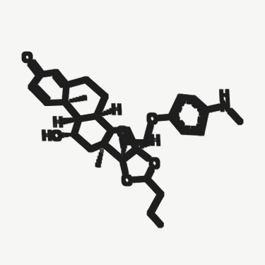 CCCC1O[C@@H]2CC3[C@@H]4CCC5=CC(=O)C=C[C@]5(C)[C@H]4[C@@H](O)C[C@]3(C)[C@]2(C(=O)COc2ccc(NC)cc2)O1